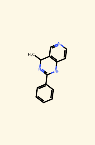 CC1N=C(c2ccccc2)Nc2ccncc21